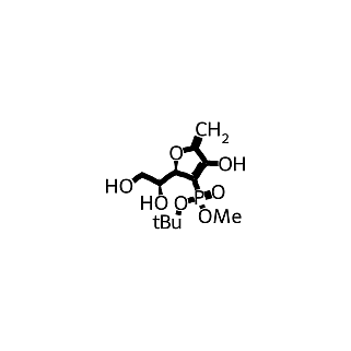 C=C1O[C@H]([C@@H](O)CO)C(P(=O)(OC)OC(C)(C)C)=C1O